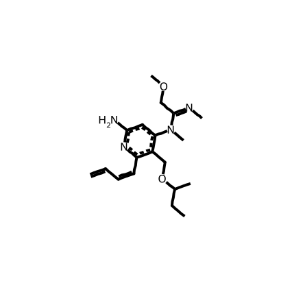 C=C/C=C\c1nc(N)cc(N(C)/C(COC)=N\C)c1COC(C)CC